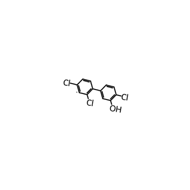 Oc1cc(-c2ccc(Cl)[c]c2Cl)ccc1Cl